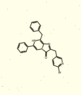 O=c1c(Cc2ccc(Br)nc2)nc2c(Cc3ccccc3)[nH]c(-c3ccccc3)cn1-2